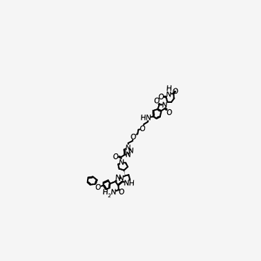 NC(=O)c1c(-c2ccc(Oc3ccccc3)cc2)nn2c1NCC[C@H]2C1CCN(C(=O)c2cn(CCOCCOCCNc3ccc4c(c3)C(=O)N(C3CCC(=O)NC3=O)C4=O)nn2)CC1